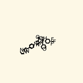 O=C(O)c1cn(-c2ccc(-c3cc4ncccn4n3)cc2)nc1N(C(=O)[C@H]1CC[C@H](C(F)(F)F)CC1)C1CCOCC1